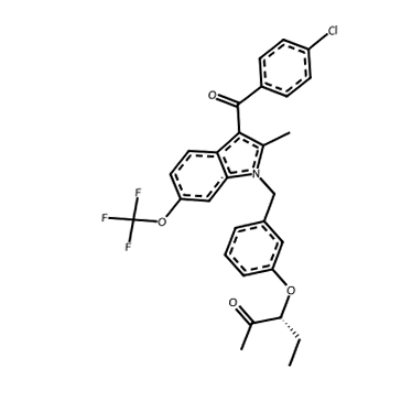 CC[C@@H](Oc1cccc(Cn2c(C)c(C(=O)c3ccc(Cl)cc3)c3ccc(OC(F)(F)F)cc32)c1)C(C)=O